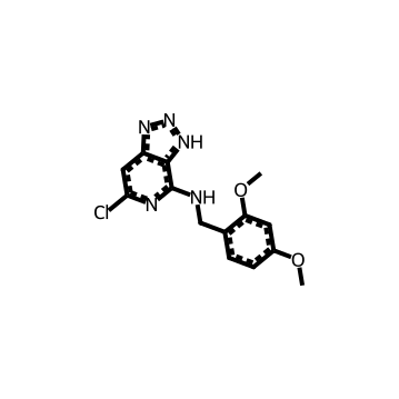 COc1ccc(CNc2nc(Cl)cc3nn[nH]c23)c(OC)c1